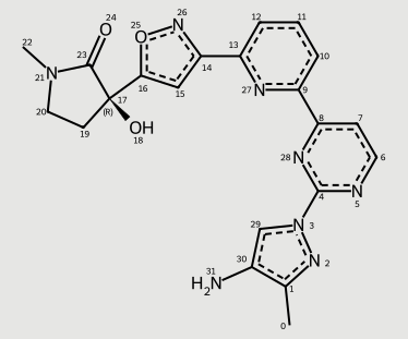 Cc1nn(-c2nccc(-c3cccc(-c4cc([C@]5(O)CCN(C)C5=O)on4)n3)n2)cc1N